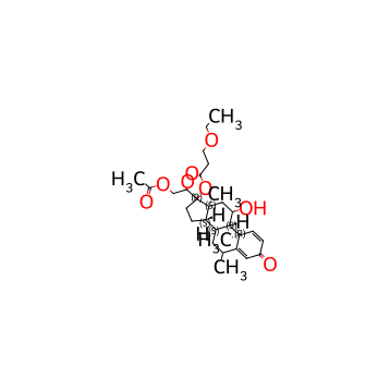 CCOCCC(=O)O[C@]1(C(=O)COC(C)=O)CC[C@H]2[C@@H]3CC(C)C4=CC(=O)C=C[C@]4(C)[C@H]3C(O)C[C@@]21C